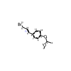 COC(C)Oc1ccc(/C=C/CBr)cc1